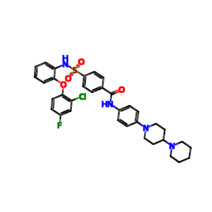 O=C(Nc1ccc(N2CCC(N3CCCCC3)CC2)cc1)c1ccc(S(=O)(=O)Nc2ccccc2Oc2ccc(F)cc2Cl)cc1